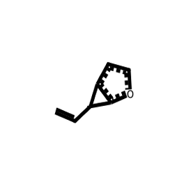 C=C[C]1c2ccoc21